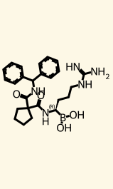 N=C(N)NCCC[C@H](NC(=O)C1(C(=O)NC(c2ccccc2)c2ccccc2)CCCC1)B(O)O